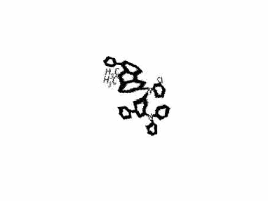 CC1(C)c2ccc(N(c3cccc(Cl)c3)c3cc(-c4ccccc4)cc(N(c4ccccc4)c4ccccc4)c3)cc2-c2cccc(-c3ccccc3)c21